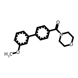 COc1[c]ccc(-c2ccc(C(=O)N3CCOCC3)cc2)c1